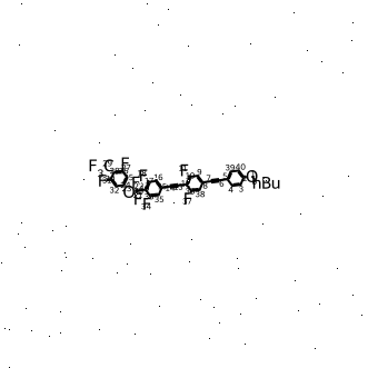 CCCCOc1ccc(C#Cc2cc(F)c(C#Cc3cc(F)c(C(F)(F)Oc4cc(F)c(C(F)(F)F)c(F)c4)c(F)c3)c(F)c2)cc1